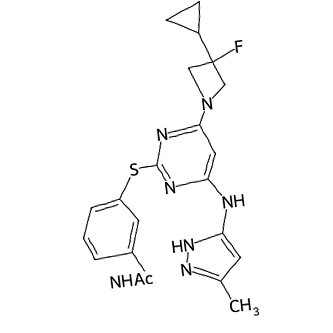 CC(=O)Nc1cccc(Sc2nc(Nc3cc(C)n[nH]3)cc(N3CC(F)(C4CC4)C3)n2)c1